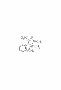 Cc1ccccc1C1[C@@H]([N+](=O)[O-])CN(C)C1(C)C